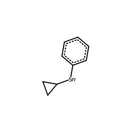 c1cc[c]([Sn][CH]2CC2)cc1